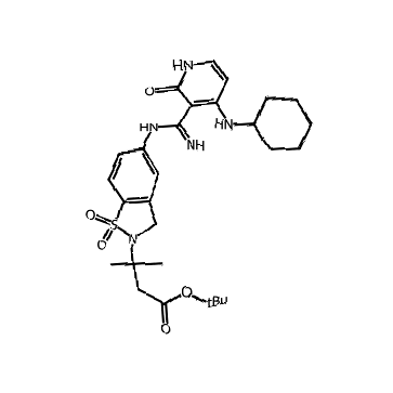 CC(C)(C)OC(=O)CC(C)(C)N1Cc2cc(NC(=N)c3c(NC4CCCCC4)cc[nH]c3=O)ccc2S1(=O)=O